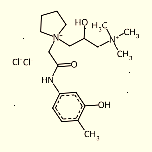 Cc1ccc(NC(=O)C[N+]2(CC(O)C[N+](C)(C)C)CCCC2)cc1O.[Cl-].[Cl-]